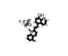 Cc1cccc2c1ccc(C=Cc1ccc(O)c3ncccc13)[n+]2C.O=S(=O)([O-])C(F)(F)F